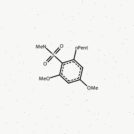 CCCCCc1cc(OC)cc(OC)c1S(=O)(=O)NC